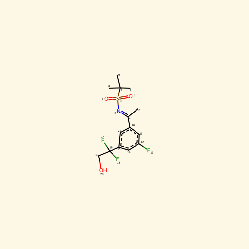 CC(=NS(=O)(=O)C(C)(C)C)c1cc(F)cc(C(F)(F)CO)c1